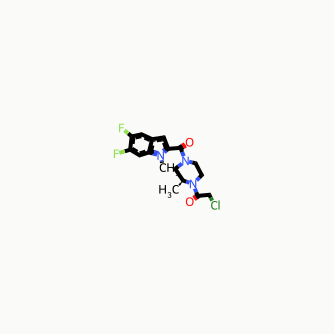 C[C@@H]1CN(C(=O)c2cc3cc(F)c(F)cc3n2C)CCN1C(=O)CCl